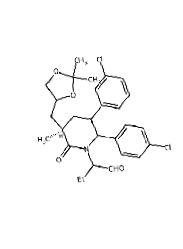 CCC(C=O)N1C(=O)[C@@](C)(CC2COC(C)(C)O2)CC(c2cccc(Cl)c2)C1c1ccc(Cl)cc1